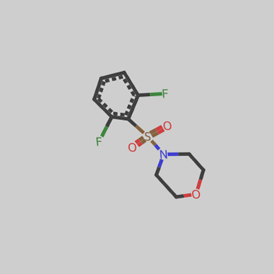 O=S(=O)(c1c(F)cccc1F)N1CCOCC1